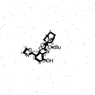 CC(C)(C)OC(=O)N1C2CCC1CN(c1nc3c(O)ccc(-c4ncco4)c3o1)C2